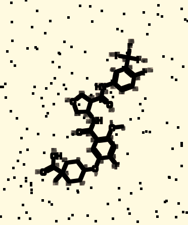 COc1cc(F)c(OC2CCC(C)(C(=O)O)CC2)cc1C(=O)NC1COCC1C(=O)Nc1ccc(F)c(C(F)(F)F)c1